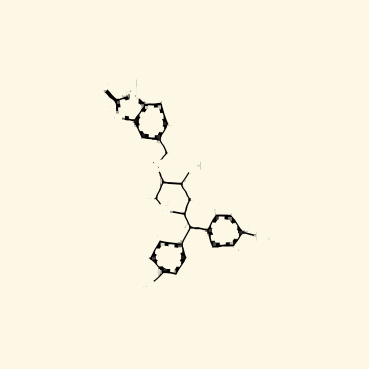 OC1CC(C(c2ccc(F)cc2)c2ccc(F)cc2)OCC1NCc1ccc2[nH]c(=S)oc2c1